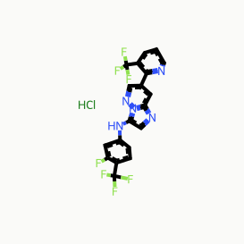 Cl.Fc1cc(Nc2cnc3cc(-c4ncccc4C(F)(F)F)cnn23)ccc1C(F)(F)F